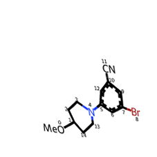 COC1CCN(c2cc(Br)cc(C#N)c2)CC1